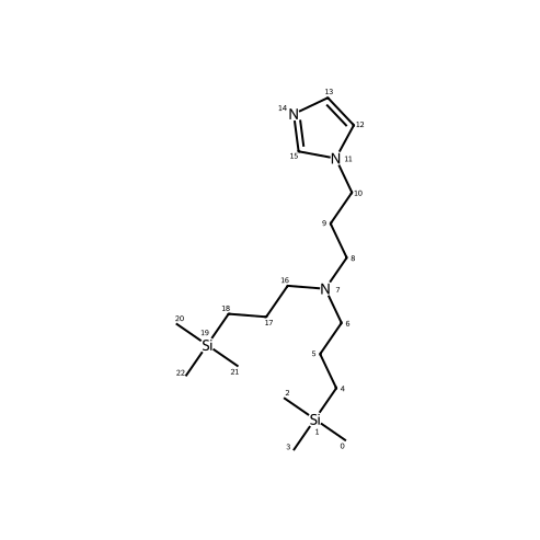 C[Si](C)(C)CCCN(CCCn1ccnc1)CCC[Si](C)(C)C